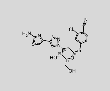 N#Cc1ccc(S[C@@H]2C[C@@H](n3cc(-c4csc(N)n4)nn3)[C@@H](O)[C@@H](CO)O2)cc1Cl